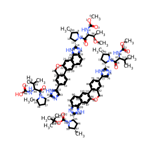 COC(=O)N[C@H](C(=O)N1C[C@@H](C)C[C@H]1c1nc2ccc3cc4c(cc3c2[nH]1)OCc1cc(-c2cnc([C@@H]3CC[C@H](C)N3C(=O)[C@@H](NC(=O)O)C(C)C)[nH]2)ccc1-4)[C@@H](C)OC.COC(=O)N[C@H](C(=O)N1C[C@@H](C)C[C@H]1c1ncc(-c2ccc3c(c2)COc2cc4c(ccc5nc([C@@H]6C[C@H](C)CN6C(=O)OC(C)(C)C)[nH]c54)cc2-3)[nH]1)C(C)C